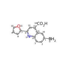 Bc1ccc2nc(-c3ccco3)cc(C(=O)O)c2c1